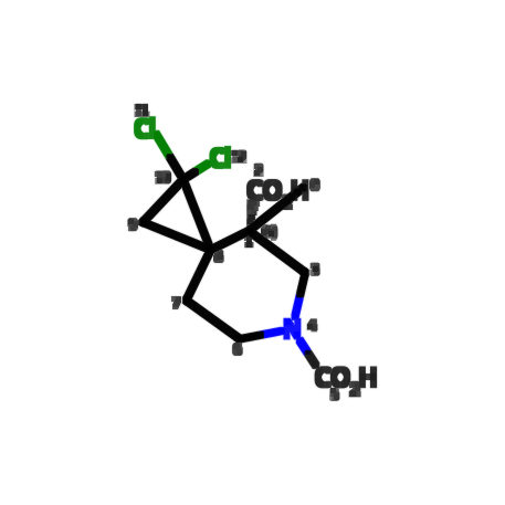 C[C@@]1(C(=O)O)CN(C(=O)O)CCC12CC2(Cl)Cl